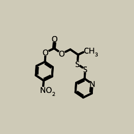 CC(COC(=O)Oc1ccc([N+](=O)[O-])cc1)SSc1ccccn1